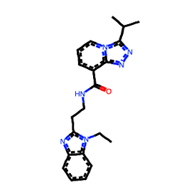 CCn1c(CCNC(=O)c2cccn3c(C(C)C)nnc23)nc2ccccc21